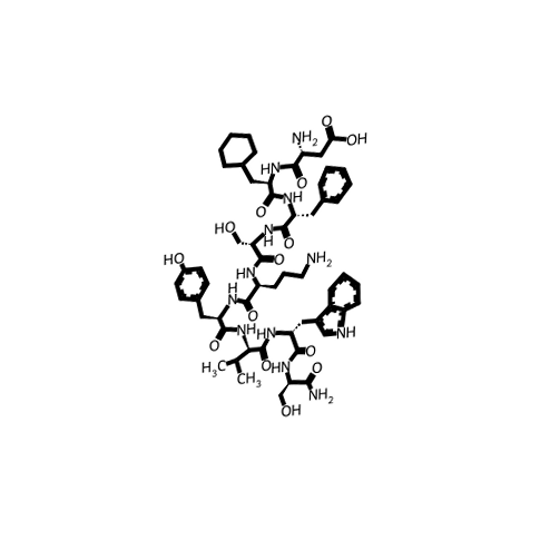 CC(C)[C@@H](NC(=O)[C@@H](Cc1ccc(O)cc1)NC(=O)[C@H](CCCN)NC(=O)[C@H](CO)NC(=O)[C@@H](Cc1ccccc1)NC(=O)[C@@H](CC1CCCCC1)NC(=O)[C@H](N)CC(=O)O)C(=O)N[C@H](Cc1c[nH]c2ccccc12)C(=O)N[C@H](CO)C(N)=O